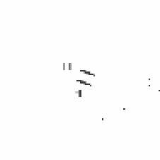 CC.CC.I.I